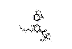 C=C(C)/C=C\C(=C/C)[C@@H]1CN(C(=O)OC(C)(C)C)C[C@@H](CCN=[N+]=[N-])N1